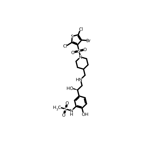 CS(=O)(=O)Nc1cc([C@@H](O)CNCC2CCN(S(=O)(=O)c3c(Cl)sc(Cl)c3Br)CC2)ccc1O